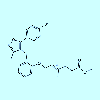 COC(=O)CC/C(C)=C/COc1ccccc1Cc1c(C)noc1-c1ccc(Br)cc1